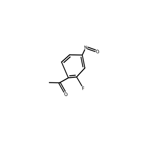 CC(=O)c1ccc(N=O)cc1F